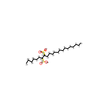 CCCCCCCCCCCCCCC(C(CCCCCC)=S(=O)=O)=S(=O)=O